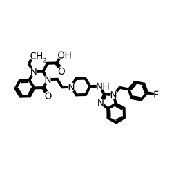 CCN1c2ccccc2C(=O)N(CCN2CCC(Nc3nc4ccccc4n3Cc3ccc(F)cc3)CC2)C1CC(=O)O